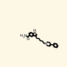 NC(=O)c1ccc2[nH]cc(CCCCCN3CC=C(c4ccccc4)CC3)c2c1